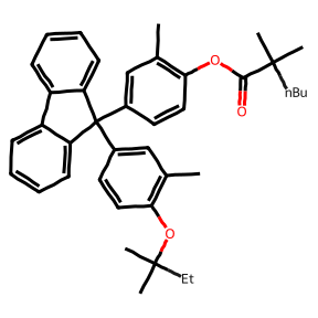 CCCCC(C)(C)C(=O)Oc1ccc(C2(c3ccc(OC(C)(C)CC)c(C)c3)c3ccccc3-c3ccccc32)cc1C